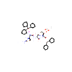 CS(=O)(=O)OC1=C(C(=O)OC(c2ccccc2)c2ccccc2)N2C(=O)[C@@H](NC(=O)/C(=N\OC(c3ccccc3)(c3ccccc3)c3ccccc3)c3csc(N)n3)[C@H]2SC1